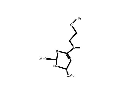 CCCOCCN(C)C1=N[C@@H](OC)N[C@@H](OC)N1